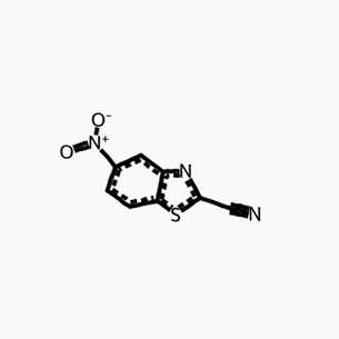 N#Cc1nc2cc([N+](=O)[O-])ccc2s1